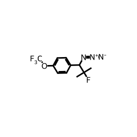 CC(C)(F)C(N=[N+]=[N-])c1ccc(OC(F)(F)F)cc1